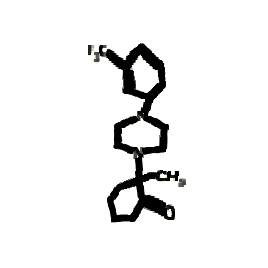 CC1(N2CCN(c3cccc(C(F)(F)F)c3)CC2)CCCCC1=O